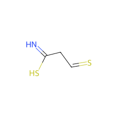 N=C(S)CC=S